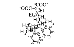 CCC(C)(CC)C(C(=O)[O-])C(=O)[O-].C[N+](C)(C)c1ccccc1.C[N+](C)(C)c1ccccc1